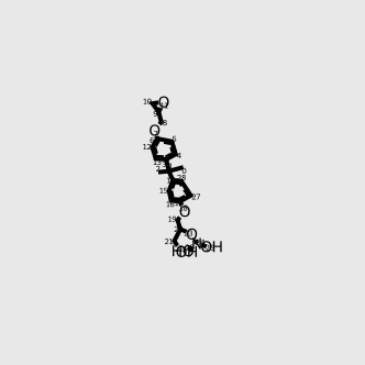 CC(C)(c1ccc(OCC2CO2)cc1)c1ccc(OCC(CO)ON(O)O)cc1